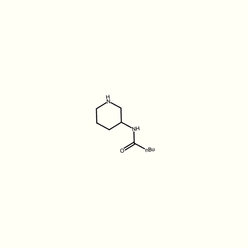 CCCCC(=O)NC1CCCNC1